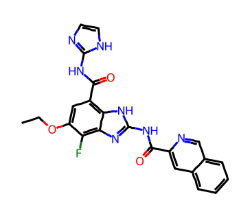 CCOc1cc(C(=O)Nc2ncc[nH]2)c2[nH]c(NC(=O)c3cc4ccccc4cn3)nc2c1F